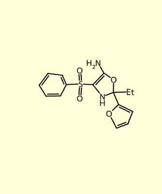 CCC1(c2ccco2)NC(S(=O)(=O)c2ccccc2)=C(N)O1